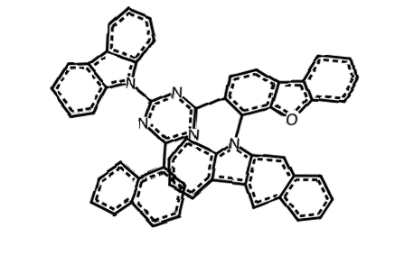 c1ccc2cc3c(cc2c1)c1ccccc1n3-c1c(-c2nc(-c3cccc4ccccc34)nc(-n3c4ccccc4c4ccccc43)n2)ccc2c1oc1ccccc12